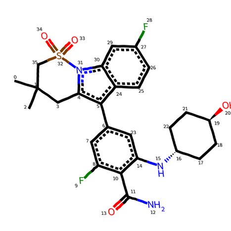 CC1(C)Cc2c(-c3cc(F)c(C(N)=O)c(N[C@H]4CC[C@H](O)CC4)c3)c3ccc(F)cc3n2S(=O)(=O)C1